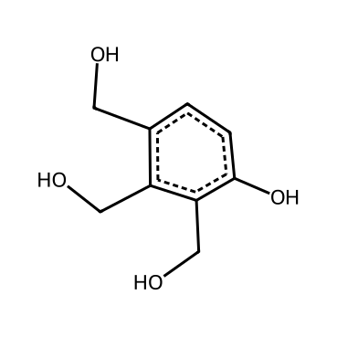 OCc1ccc(O)c(CO)c1CO